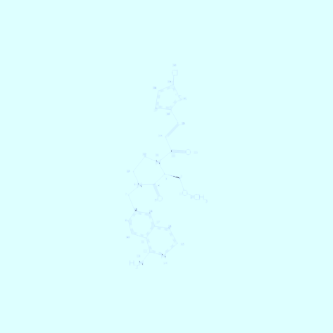 COC[C@H]1C(=O)N(Cc2ccc3c(N)nccc3c2)CCN1C(=O)/C=C/c1ccc(Cl)s1